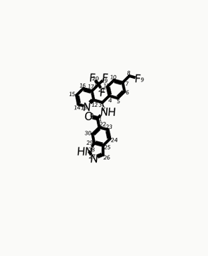 O=C(N[C@@H](c1ccc(CF)cc1)c1ncccc1C(F)(F)F)c1ccc2cn[nH]c2c1